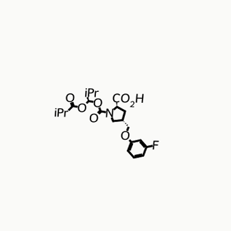 CC(C)C(=O)O[C@H](OC(=O)N1C[C@@H](COc2cccc(F)c2)C[C@H]1C(=O)O)C(C)C